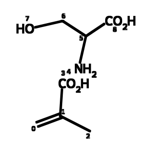 C=C(C)C(=O)O.NC(CO)C(=O)O